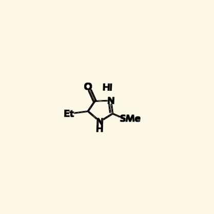 CCC1NC(SC)=NC1=O.I